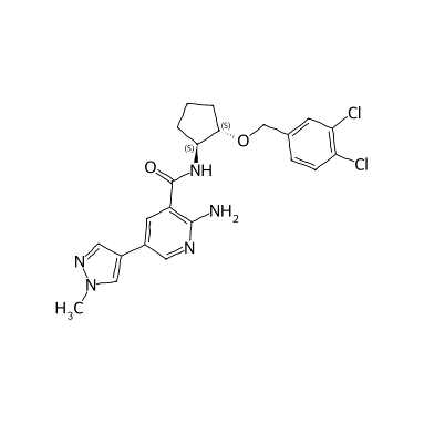 Cn1cc(-c2cnc(N)c(C(=O)N[C@H]3CCC[C@@H]3OCc3ccc(Cl)c(Cl)c3)c2)cn1